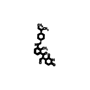 CCN(C)[C@H]1CC[C@H](CNc2cccc(C(=O)N(C=O)C3CCC(=O)NC3=O)c2C)CC1